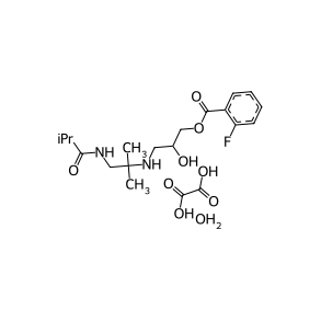 CC(C)C(=O)NCC(C)(C)NCC(O)COC(=O)c1ccccc1F.O.O=C(O)C(=O)O